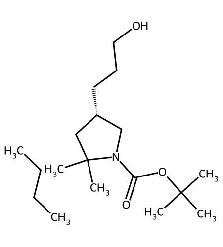 CC(C)(C)OC(=O)N1C[C@@H](CCCO)CC1(C)C.CCCC